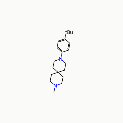 CN1CCC2(CC1)CCN(c1ccc(C(C)(C)C)cc1)CC2